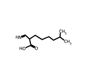 CC(C)CCCCC(C=N)C(=O)O